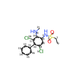 CCS(=O)(=O)Nc1cc(Cl)c(-c2ccccc2)c(Cl)c1NC